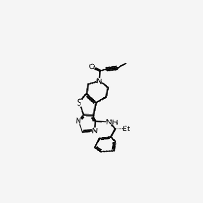 CC#CC(=O)N1CCc2c(sc3ncnc(N[C@H](CC)c4ccccc4)c23)C1